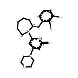 O=c1cc(N2CCOCC2)cc(N2CCCCC[C@H]2Cc2cccc(F)c2F)[nH]1